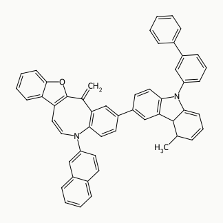 C=C1c2cc(-c3ccc4c(c3)C3C(=CC=CC3C)N4c3cccc(-c4ccccc4)c3)ccc2N(c2ccc3ccccc3c2)/C=C\c2c1oc1ccccc21